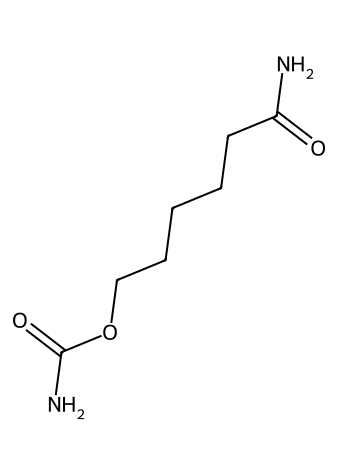 NC(=O)CCCCCOC(N)=O